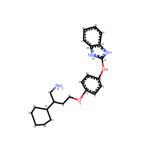 NCC(CCOc1ccc(Oc2nc3ccccc3[nH]2)cc1)C1CCCCC1